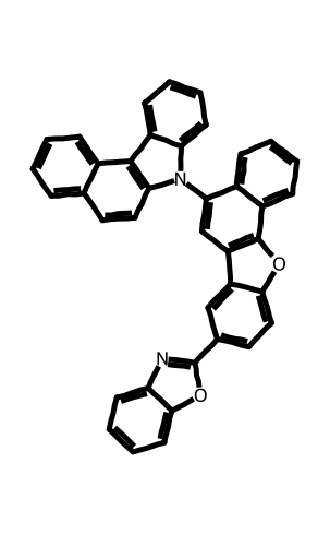 c1ccc2c(c1)ccc1c2c2ccccc2n1-c1cc2c3cc(-c4nc5ccccc5o4)ccc3oc2c2ccccc12